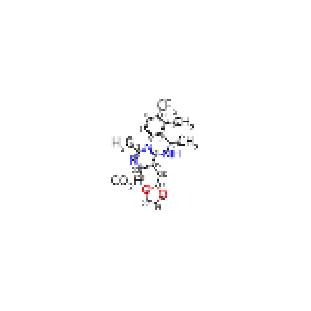 Cc1nc(N[C@H](C)c2cccc(C(F)(F)F)c2C)c(CC2OCCO2)c(C(=O)O)n1